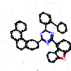 c1ccc(-c2ccccc2-c2nc(-c3ccc4ccc5ccc6ccccc6c5c4c3)nc(-c3cccc4oc5ccccc5c34)n2)cc1